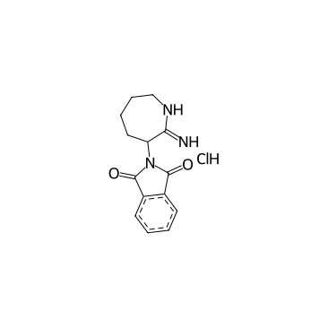 Cl.N=C1NCCCCC1N1C(=O)c2ccccc2C1=O